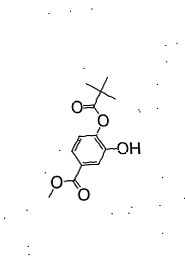 COC(=O)c1ccc(OC(=O)C(C)(C)C)c(O)c1